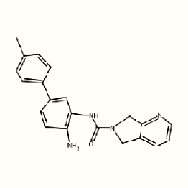 Cc1ccc(-c2ccc(N)c(NC(=O)N3Cc4cccnc4C3)c2)cc1